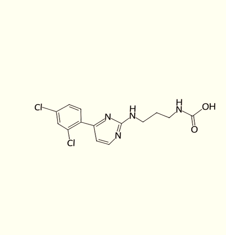 O=C(O)NCCCNc1nccc(-c2ccc(Cl)cc2Cl)n1